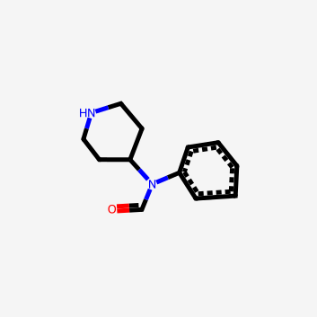 O=CN(c1ccccc1)C1CCNCC1